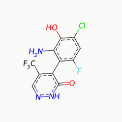 Nc1c(O)c(Cl)cc(F)c1-c1c(C(F)(F)F)cn[nH]c1=O